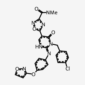 CNC(=O)c1noc(-c2c[nH]/c(=N\c3ccc(Oc4ccon4)cc3)n(Cc3ccc(Cl)cc3)c2=O)n1